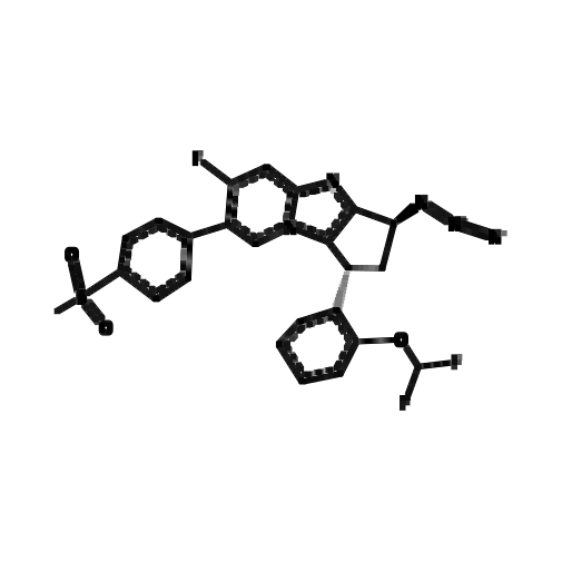 CS(=O)(=O)c1ccc(-c2cn3c4c(nc3cc2F)[C@@H](N=[N+]=[N-])C[C@@H]4c2ccccc2OC(F)F)cc1